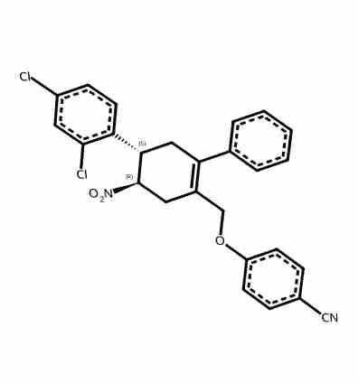 N#Cc1ccc(OCC2=C(c3ccccc3)C[C@@H](c3ccc(Cl)cc3Cl)[C@H]([N+](=O)[O-])C2)cc1